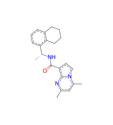 Cc1cc(C)n2ccc(C(=O)N[C@H](C)c3cccc4c3CCCC4)c2n1